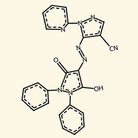 N#Cc1cnn(-c2ccccn2)c1N=Nc1c(O)n(-c2ccccc2)n(-c2ccccc2)c1=O